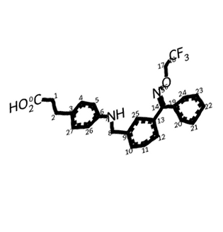 O=C(O)CCc1ccc(NCc2cccc(C(=NOCC(F)(F)F)c3ccccc3)c2)cc1